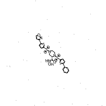 O=C(NO)[C@H]1CN(S(=O)(=O)c2ccc(-c3ccon3)s2)CCN1S(=O)(=O)c1ccc(-c2ccccc2)s1